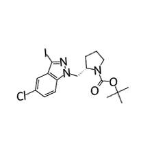 CC(C)(C)OC(=O)N1CCC[C@H]1Cn1nc(I)c2cc(Cl)ccc21